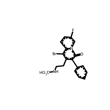 O=C(O)NCCc1c(-c2ccccc2)c(=O)n2cc(F)ccc2c1Br